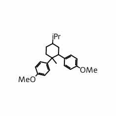 COc1ccc(C2CC(C(C)C)CCC2(C)c2ccc(OC)cc2)cc1